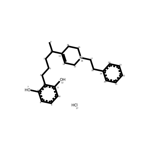 CC(CCCc1c(O)cccc1O)C1=CCN(CCc2ccccc2)CC1.Cl